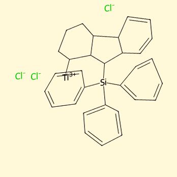 [Cl-].[Cl-].[Cl-].[Ti+3][CH]1CCCC2C3C=CC=CC3C([Si](c3ccccc3)(c3ccccc3)c3ccccc3)C12